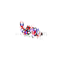 CCO[C@H](c1nc(Br)cs1)[C@H](NC(=O)OC(C)(C)C)C(=O)N1CCCC(C(=O)OCC(C)(C)Cc2c(-c3cc(C4=CC5COCC(C4)N5C(=O)OCC4c5ccccc5-c5ccccc54)cnc3[C@H](C)OC)n(CC)c3ccc(B4OC(C)(C)C(C)(C)O4)cc23)N1